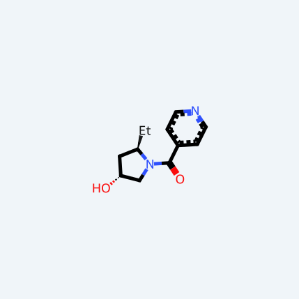 CC[C@@H]1C[C@@H](O)CN1C(=O)c1ccncc1